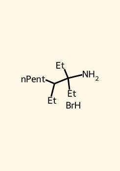 Br.CCCCCC(CC)C(N)(CC)CC